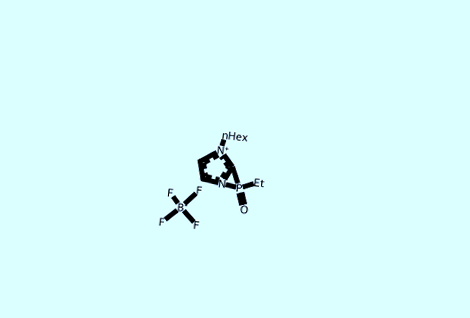 CCCCCC[n+]1ccn2c1P2(=O)CC.F[B-](F)(F)F